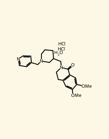 COc1cc2c(cc1OC)C(=O)N(CC1CCCN(Cc3ccncc3)C1)CC2.Cl.Cl.O